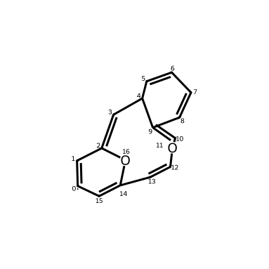 [C]1=C/C2=C/C3C=CC=C/C3=C\O/C=C\C(=C1)O2